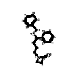 O=C1CCN1CCCC(SCc1ccccc1)c1ccccc1